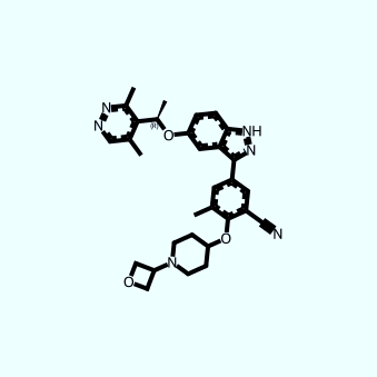 Cc1cc(-c2n[nH]c3ccc(O[C@H](C)c4c(C)cnnc4C)cc23)cc(C#N)c1OC1CCN(C2COC2)CC1